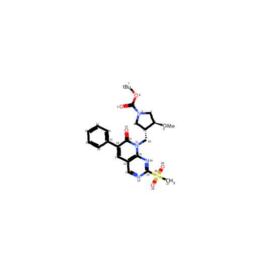 CO[C@@H]1CN(C(=O)OC(C)(C)C)C[C@H]1Cn1c(=O)c(-c2ccccc2)cc2cnc(S(C)(=O)=O)nc21